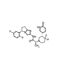 C[C@@H](C(=O)Nc1cn2c(n1)CC[C@@H]2c1cc(F)ccc1F)N1CCC(F)(F)[C@@H](c2ccc(=O)[nH]c2)C1